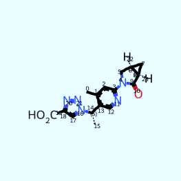 Cc1cc(N2C[C@H]3C[C@H]3C2=O)ncc1[C@H](C)n1cc(C(=O)O)nn1